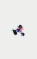 CN1CCCC1COc1nc2c(c(N3C[C@H]4CC[C@@H](C3)N4C(=O)O)n1)CCN(c1cc(C(F)F)cc3ccccc13)C2